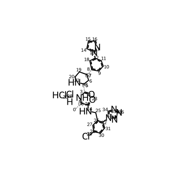 C[C@H](NC(=O)[C@H]1C[C@@H](c2cccc(-n3cccn3)c2)CCN1)C(=O)NCc1cc(Cl)ccc1-n1cnnn1.Cl.Cl